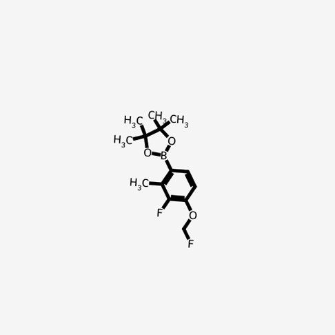 Cc1c(B2OC(C)(C)C(C)(C)O2)ccc(OCF)c1F